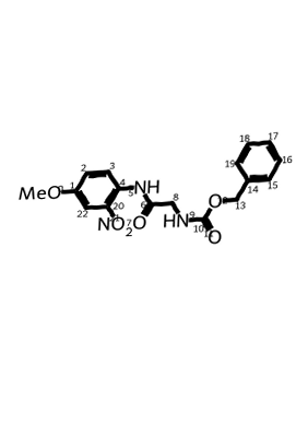 COc1ccc(NC(=O)CNC(=O)OCc2ccccc2)c([N+](=O)[O-])c1